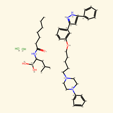 CCCCCCC(=O)NC(CC(C)C)B(O)O.Cl.Cl.c1ccc(-c2cc(-c3cccc(OCCCCCN4CCN(c5ccccc5)CC4)c3)n[nH]2)cc1